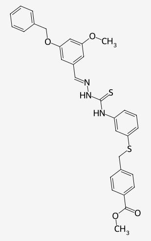 COC(=O)c1ccc(CSc2cccc(NC(=S)N/N=C/c3cc(OC)cc(OCc4ccccc4)c3)c2)cc1